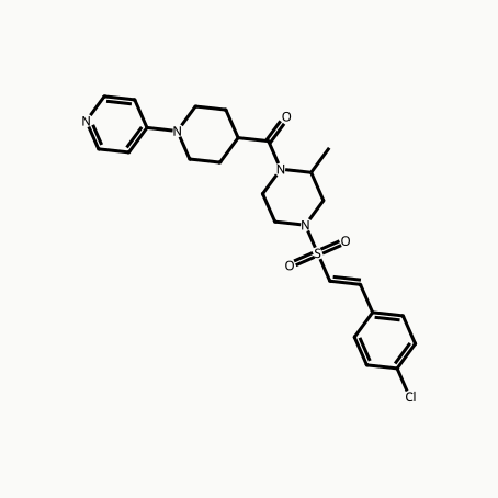 CC1CN(S(=O)(=O)/C=C/c2ccc(Cl)cc2)CCN1C(=O)C1CCN(c2ccncc2)CC1